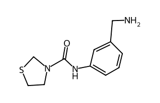 NCc1cccc(NC(=O)N2CCSC2)c1